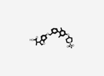 Cc1cc(OC2CCN(S(C)(=O)=O)CC2)cc(C)c1-c1cccc(COc2ccc3c(c2)OCC3C(C)C(=O)O)c1